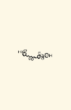 COc1cc(/C=C/C(=O)CC(=O)/C=C/c2ccc(OC(=O)N3CCCNCC3)c(OC)c2)ccc1O